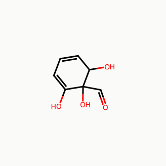 O=CC1(O)C(O)=CC=CC1O